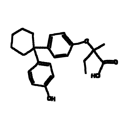 CCC(C)(Oc1ccc(C2(c3ccc(O)cc3)CCCCC2)cc1)C(=O)O